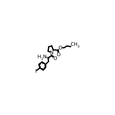 CCCCOC(=O)C1CCCN1C(=O)[C@@H](N)Cc1ccc(I)cc1